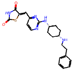 O=C1NC(=O)/C(=C/c2ccnc(N[C@H]3CC[C@@H](NCCc4ccccc4)CC3)n2)S1